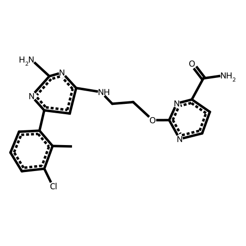 Cc1c(Cl)cccc1-c1cc(NCCOc2nccc(C(N)=O)n2)nc(N)n1